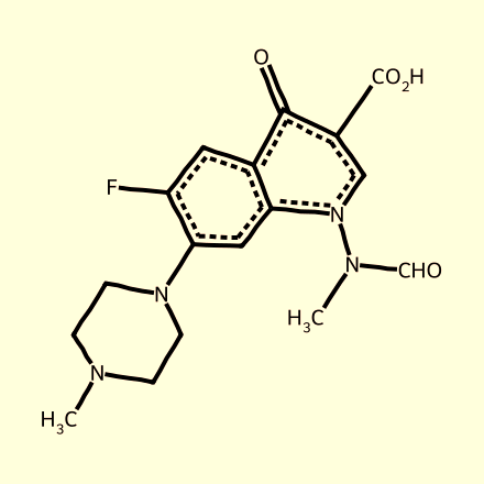 CN1CCN(c2cc3c(cc2F)c(=O)c(C(=O)O)cn3N(C)C=O)CC1